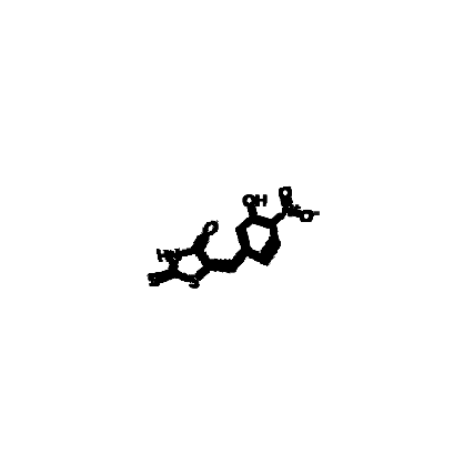 O=C1NC(=S)SC1=Cc1ccc([N+](=O)[O-])c(O)c1